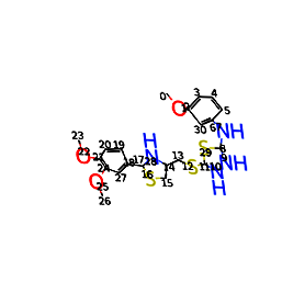 COc1cccc(NC2NNC(SCC3CSC(c4ccc(OC)c(OC)c4)N3)S2)c1